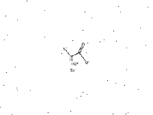 O=C([O-])N[S-].[Na+].[Na+]